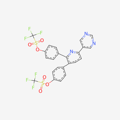 O=S(=O)(Oc1ccc(-c2ccc(-c3cncnc3)nc2-c2ccc(OS(=O)(=O)C(F)(F)F)cc2)cc1)C(F)(F)F